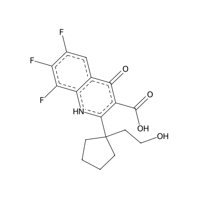 O=C(O)c1c(C2(CCO)CCCC2)[nH]c2c(F)c(F)c(F)cc2c1=O